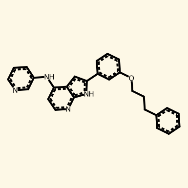 c1ccc(CCCOc2cccc(-c3cc4c(Nc5cccnc5)ccnc4[nH]3)c2)cc1